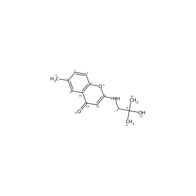 Cc1ccc2oc(NCC(C)(C)O)cc(=O)c2c1